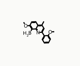 Bc1c(OC)ccc2c(C)cc(-c3ccccc3OC)nc12